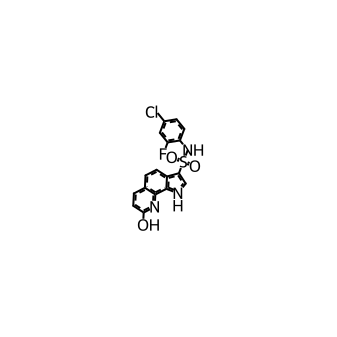 O=S(=O)(Nc1ccc(Cl)cc1F)c1c[nH]c2c1ccc1ccc(O)nc12